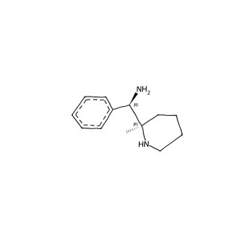 C[C@]1([C@H](N)c2ccccc2)CCCCN1